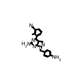 Cc1c(C#N)cccc1-c1nc(N)nc2c1cnn2Cc1ccc(N)cc1